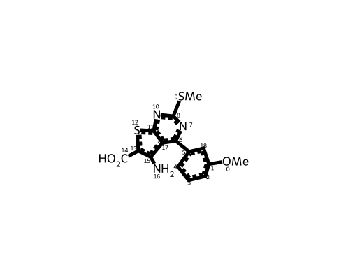 COc1cccc(-c2nc(SC)nc3sc(C(=O)O)c(N)c23)c1